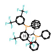 CC(P(c1ccccc1)c1ccccc1)[C@]12[CH]3[CH]4[CH]5[C]1(P(c1cc(C(F)(F)F)cc(C(F)(F)F)c1)c1cc(C(F)(F)F)cc(C(F)(F)F)c1)[Fe]45321678[CH]2[CH]1[CH]6[CH]7[CH]28